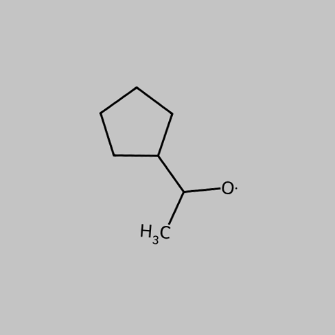 CC([O])C1CCCC1